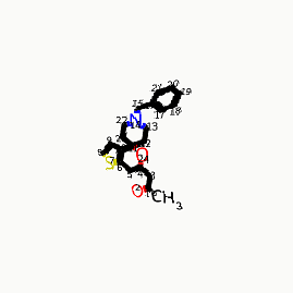 CC(=O)CC1Cc2sccc2C2(CCN(Cc3ccccc3)CC2)O1